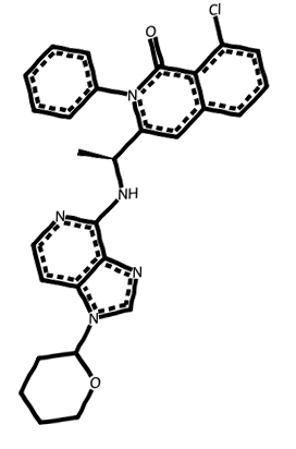 C[C@H](Nc1nccc2c1ncn2C1CCCCO1)c1cc2cccc(Cl)c2c(=O)n1-c1ccccc1